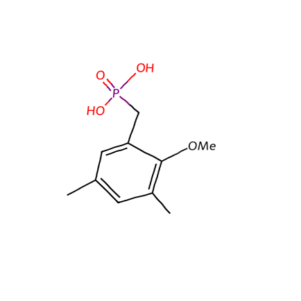 COc1c(C)cc(C)cc1CP(=O)(O)O